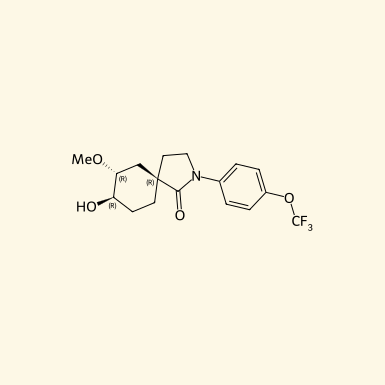 CO[C@@H]1C[C@@]2(CC[C@H]1O)CCN(c1ccc(OC(F)(F)F)cc1)C2=O